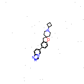 c1cc2c(cc1-c1ccc3nncn3c1)CC1(CCN(C3CCC3)CC1)O2